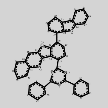 c1ccc(-c2nc(-c3ccccc3)nc(-c3ccc(-c4cccc5c4oc4ccccc45)c4oc5cc6ccccc6nc5c34)n2)cc1